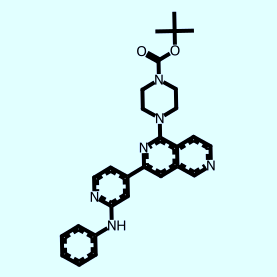 CC(C)(C)OC(=O)N1CCN(c2nc(-c3ccnc(Nc4ccccc4)c3)cc3cnccc23)CC1